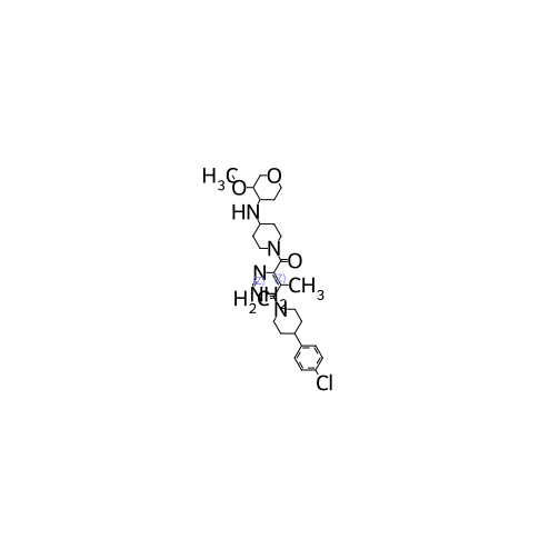 C=C(/C(C)=C(\N=C/N)C(=O)N1CCC(NC2CCOCC2OC)CC1)N1CCC(c2ccc(Cl)cc2)CC1